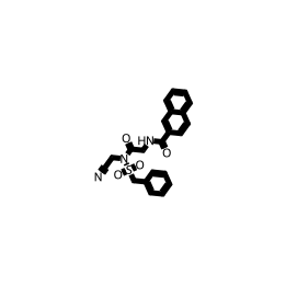 N#CCN(C(=O)CNC(=O)c1ccc2ccccc2c1)S(=O)(=O)Cc1ccccc1